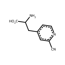 N#Cc1cc(CC(N)C(=O)O)ccn1